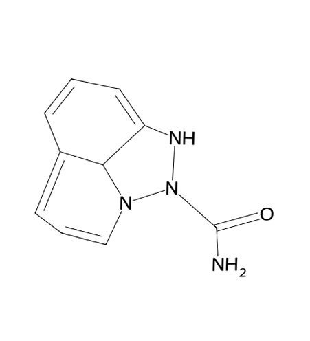 NC(=O)N1NC2=CC=CC3=CC=CN1C32